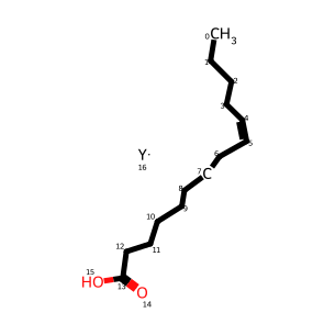 CCCC/C=C\CCCCCCCC(=O)O.[Y]